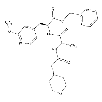 COc1cc(C[C@H](NC(=O)[C@H](C)NC(=O)CN2CCOCC2)C(=O)OCc2ccccc2)ccn1